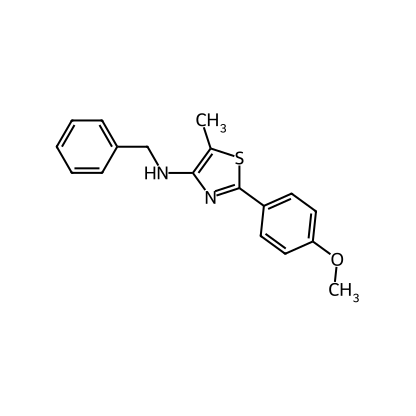 COc1ccc(-c2nc(NCc3ccccc3)c(C)s2)cc1